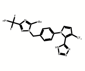 CCCCc1nc(C(F)(F)CCC)nn1Cc1ccc(-n2ccc(C(F)(F)F)c2-c2nnn[nH]2)cc1